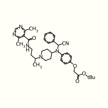 Cc1ncnc(C)c1C(=O)NCCC(C)N1CCC(N(c2ccc(OCC(=O)OC(C)(C)C)cc2)C(C#N)c2ccccc2)CC1